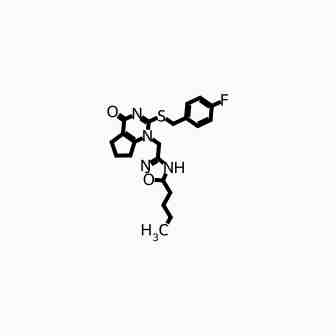 CCCCC1NC(Cn2c(SCc3ccc(F)cc3)nc(=O)c3c2CCC3)=NO1